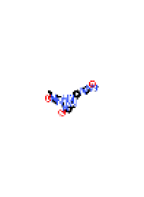 C=CC(=O)N1CCN(CCn2c(=O)ccc3cnc(Nc4ccc(N5CCN(C(=O)N(C)C)CC5)cc4)nc32)CC1